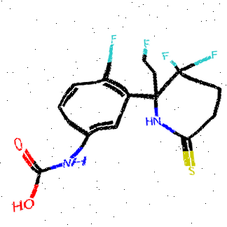 O=C(O)Nc1ccc(F)c(C2(CF)NC(=S)CCC2(F)F)c1